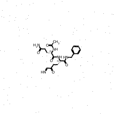 CC(=O)N[C@@H](CCC(N)=O)C(=O)N[C@@H](CCC(=O)C=N)C(=O)NCc1ccccc1